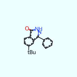 CC(C)(C)c1ccc2c(=O)[nH]nc(-c3ccccc3)c2c1